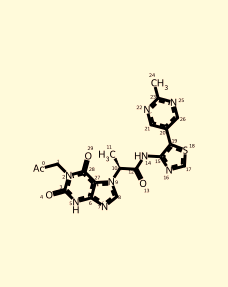 CC(=O)Cn1c(=O)[nH]c2ncn([C@@H](C)C(=O)Nc3ncsc3-c3cnc(C)nc3)c2c1=O